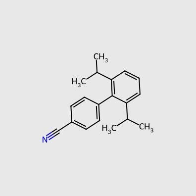 CC(C)c1cccc(C(C)C)c1-c1ccc(C#N)cc1